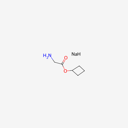 NCC(=O)OC1CCC1.[NaH]